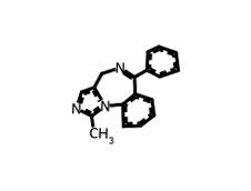 Cc1ncc2n1-c1ccccc1C(c1ccccc1)=NC2